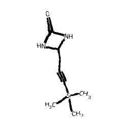 C[Si](C)(C)C#CC1NC(=O)N1